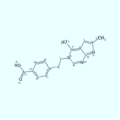 Cc1cc2c(O)n(CCc3ccc(C(=O)O)cc3)cnc-2n1